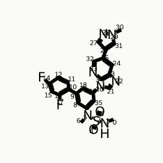 CNS(=O)(=O)N(C)c1cc(-c2ccc(F)cc2F)cc(-n2cnc3cc(-c4cnn(C)c4)cnc32)c1